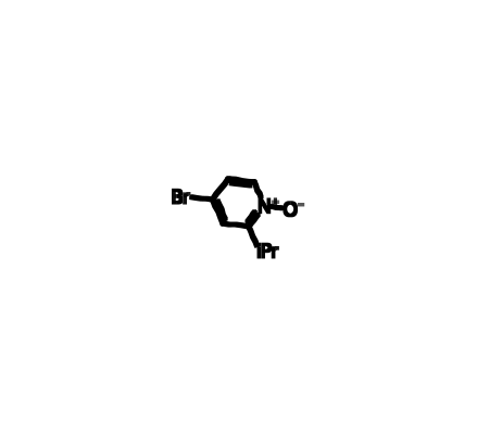 CC(C)c1cc(Br)cc[n+]1[O-]